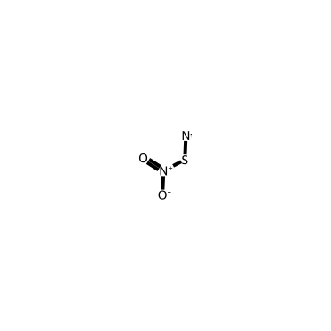 [N]S[N+](=O)[O-]